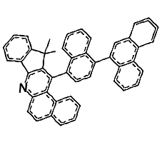 CC1(C)c2ccccc2-c2nc3ccc4ccccc4c3c(-c3ccc(-c4cc5c(c6ccccc46)C=C=C=C5)c4ccccc34)c21